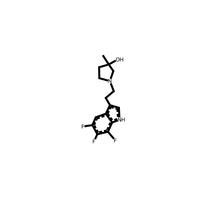 CC1(O)CCN(CCc2c[nH]c3c(F)c(F)c(F)cc23)C1